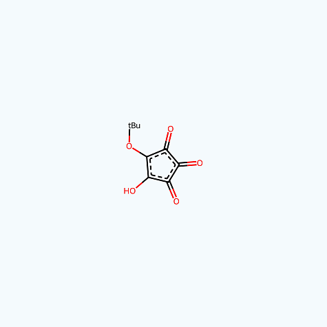 CC(C)(C)Oc1c(O)c(=O)c(=O)c1=O